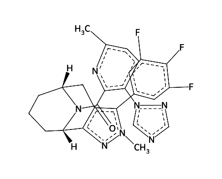 Cc1ccc(-n2cncn2)c(C(=O)N2[C@@H]3CCC[C@H]2c2nn(C)c(-c4cc(F)c(F)c(F)c4)c2C3)n1